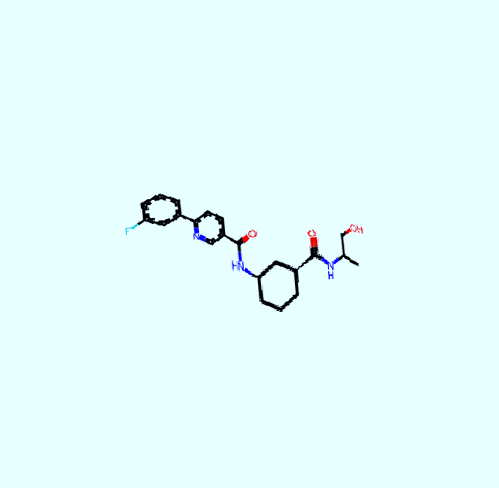 CC(CO)NC(=O)[C@H]1CCC[C@@H](NC(=O)c2ccc(-c3cccc(F)c3)nc2)C1